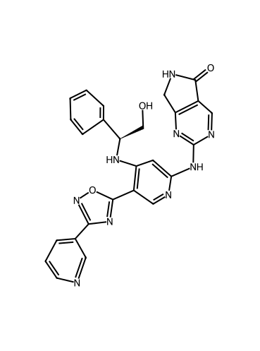 O=C1NCc2nc(Nc3cc(N[C@H](CO)c4ccccc4)c(-c4nc(-c5cccnc5)no4)cn3)ncc21